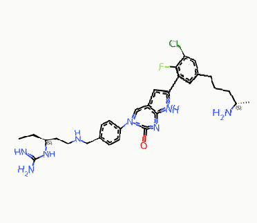 CC[C@@H](CCNCc1ccc(-n2cc3cc(-c4cc(CCC[C@H](C)N)cc(Cl)c4F)[nH]c3nc2=O)cc1)NC(=N)N